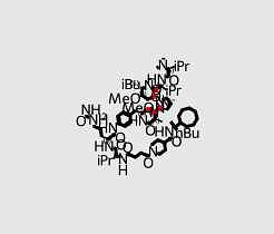 CCCCC(C)(NC(=O)C1CCN(C(=O)CCC(=O)N[C@H](C(=O)N[C@@H](CCCNC(N)=O)C(=O)Nc2ccc(C[C@@H](CN=[N+]=[N-])NC(=O)[C@H](C)[C@@H](OC)[C@@H]3CCCN3C(=O)C[C@@H](OC)C([C@@H](C)CC)N(C)C(=O)[C@@H](NC(=O)[C@H](C(C)C)N(C)C)C(C)C)cc2)C(C)C)CC1)C1CCCCCCC1